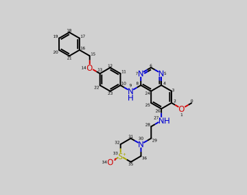 COc1cc2ncnc(Nc3ccc(OCc4ccccc4)cc3)c2cc1NCCN1CC[S+]([O-])CC1